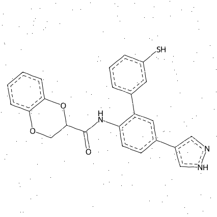 O=C(Nc1ccc(-c2cn[nH]c2)cc1-c1cccc(S)c1)C1COc2ccccc2O1